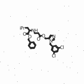 CC(C)CC(NCCC(=O)OCc1cncn1Cc1cc(Cl)cc(Cl)c1)C(=O)OCc1ccccc1